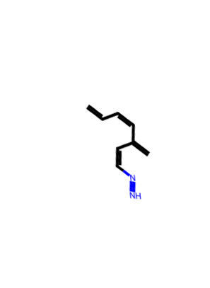 C=C/C=C\C(=C)/C=C\N=N